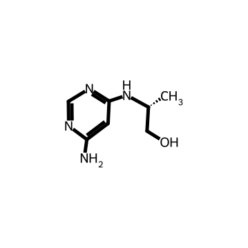 C[C@H](CO)Nc1cc(N)ncn1